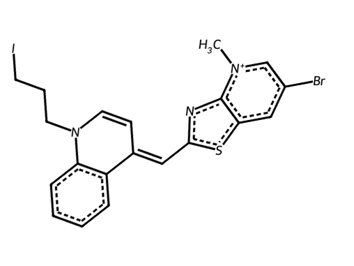 C[n+]1cc(Br)cc2sc(/C=C3\C=CN(CCCI)c4ccccc43)nc21